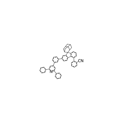 N#Cc1ccccc1-c1cccc2c1-c1ccc(-c3cccc(-c4cc(-c5ccccc5)nc(-c5ccccc5)c4)c3)cc1C21C2CC3CC(C2)CC1C3